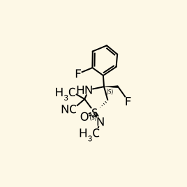 CN=[S@]1(=O)C[C@@](CF)(c2ccccc2F)NC1(C)C#N